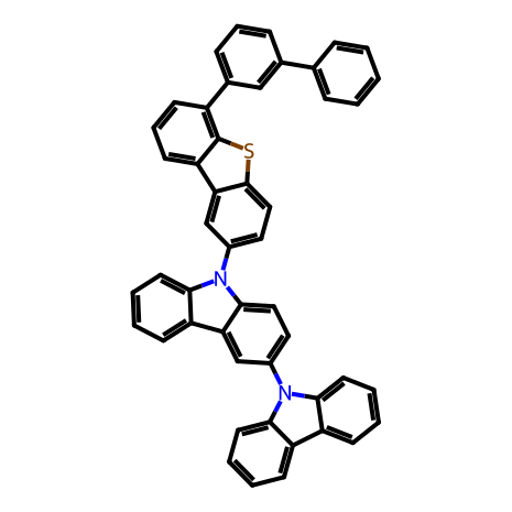 c1ccc(-c2cccc(-c3cccc4c3sc3ccc(-n5c6ccccc6c6cc(-n7c8ccccc8c8ccccc87)ccc65)cc34)c2)cc1